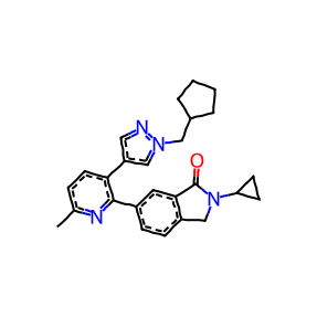 Cc1ccc(-c2cnn(CC3CCCC3)c2)c(-c2ccc3c(c2)C(=O)N(C2CC2)C3)n1